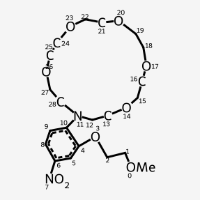 COCCOc1cc([N+](=O)[O-])ccc1N1CCOCCOCCOCCOCCOCC1